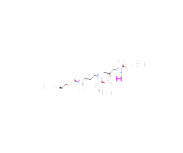 C=CCOC(=O)NCCCN(C[C@H](O)CNC(=O)OC(C)(C)C)C(=O)OC(C)(C)C